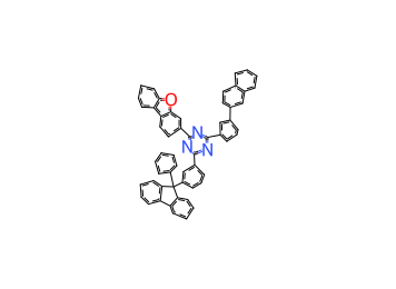 c1ccc(C2(c3cccc(-c4nc(-c5cccc(-c6ccc7ccccc7c6)c5)nc(-c5ccc6c(c5)oc5ccccc56)n4)c3)c3ccccc3-c3ccccc32)cc1